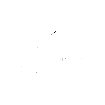 Cc1ncc(N2CC[C@@H](C3CC34CC(C(N)=O)CCN4)C2)cn1